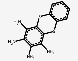 Nc1c(N)c(N)c2c(c1N)Sc1ccccc1S2